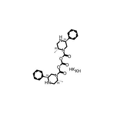 C[C@@H]1CN[C@@H](c2ccccc2)CN1C(=O)OC(=O)OC(=O)N1C[C@H](c2ccccc2)NC[C@H]1C.[KH].[KH]